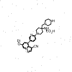 CCOc1cc(-c2ccc(N3CCC(CN4CCNCC4)(NC(=O)O)CC3)nc2)c2c(C#N)cnn2c1